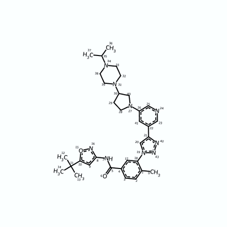 Cc1ccc(C(=O)Nc2cc(C(C)(C)C)on2)cc1-n1cc(-c2cncc(N3CCC(N4CCN(C(C)C)CC4)C3)c2)nn1